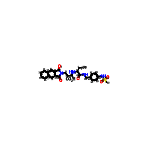 CC(C)C[C@H](N[C@H](CCN1C(=O)c2cc3ccccc3cc2C1=O)C(=O)O)C(=O)NCc1ccc(NS(C)(=O)=O)cc1